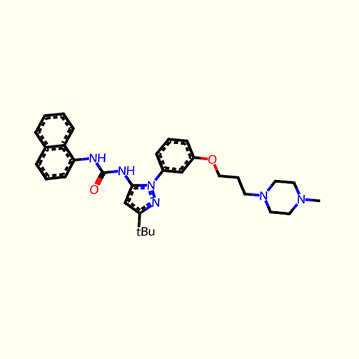 CN1CCN(CCCOc2cccc(-n3nc(C(C)(C)C)cc3NC(=O)Nc3cccc4ccccc34)c2)CC1